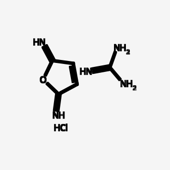 Cl.N=C(N)N.N=C1C=CC(=N)O1